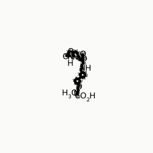 CN(CCOc1cccc(-c2cccc(CNCCC3CN(c4ccc5c(n4)NC(=O)CO5)C(=O)O3)c2)c1)C(=O)O